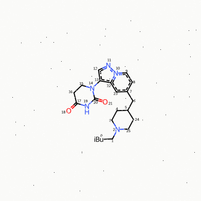 CCC(C)CN1CCC(Cc2ccn3ncc(N4CCC(=O)NC4=O)c3c2)CC1